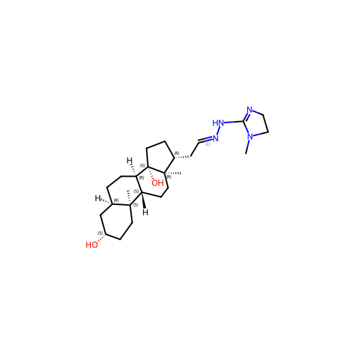 CN1CCN=C1N/N=C/C[C@H]1CC[C@]2(O)[C@@H]3CC[C@@H]4C[C@@H](O)CC[C@]4(C)[C@H]3CC[C@]12C